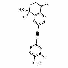 CCOC(=O)c1ccc(C#Cc2ccc3c(c2)C(C)(C)CC[S+]3[O-])cc1Cl